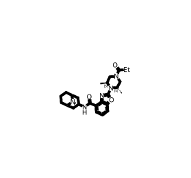 CCC(=O)N1C[C@H](C)N(c2nc3c(C(=O)NC4CC5CCCC(C4)N5C)cccc3o2)[C@@H](C)C1